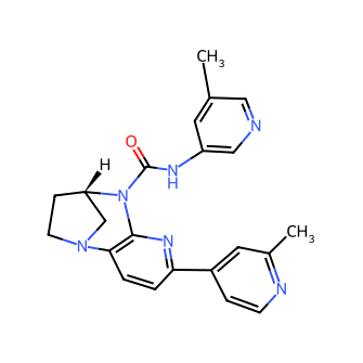 Cc1cncc(NC(=O)N2c3nc(-c4ccnc(C)c4)ccc3N3CC[C@H]2C3)c1